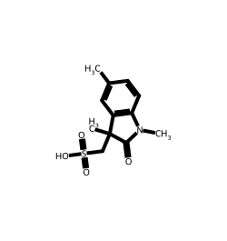 Cc1ccc2c(c1)C(C)(CS(=O)(=O)O)C(=O)N2C